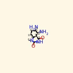 Cn1c(=O)[nH]c(=O)c2c(N)c(N)ccc21